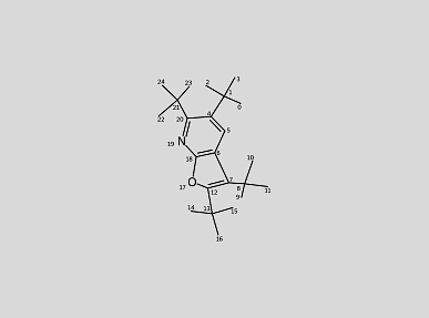 CC(C)(C)c1cc2c(C(C)(C)C)c(C(C)(C)C)oc2nc1C(C)(C)C